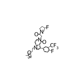 C[Si](C)(C)OCCn1cc(-c2ccc(F)c(C(F)(F)F)c2)c2c(=O)n(CC(=O)N3CCC(F)C3)ccc21